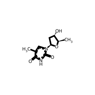 Cc1cn([C@H]2C[C@H](O)[C@@H](C)O2)c(=O)[nH]c1=O